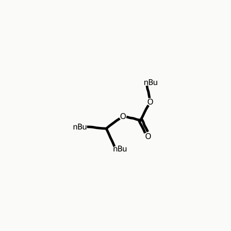 CCCCOC(=O)OC(CCCC)CCCC